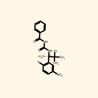 CCC(C)(C)[C@](C)(NC(=S)NC(=O)c1ccccc1)c1cc([N+](=O)[O-])ccc1F